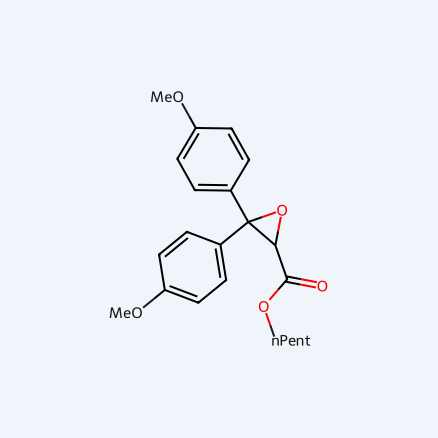 CCCCCOC(=O)C1OC1(c1ccc(OC)cc1)c1ccc(OC)cc1